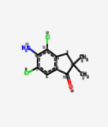 CC1(C)Cc2c(cc(Cl)c(N)c2Cl)C1=O